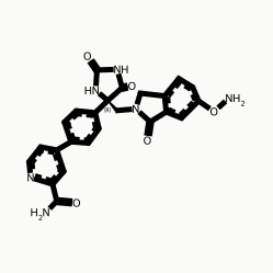 NOc1ccc2c(c1)C(=O)N(C[C@@]1(c3ccc(-c4ccnc(C(N)=O)c4)cc3)NC(=O)NC1=O)C2